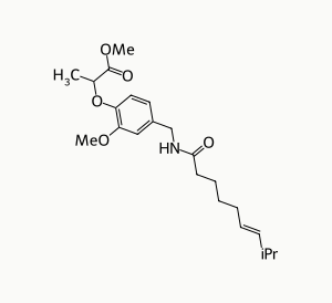 COC(=O)C(C)Oc1ccc(CNC(=O)CCCCC=CC(C)C)cc1OC